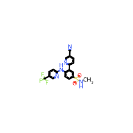 CNS(=O)(=O)c1ccc(Nc2ccc(C(F)(F)F)cn2)c(-c2ccc(C#N)cn2)c1